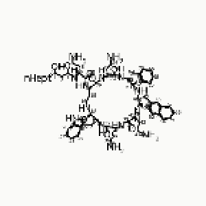 CCCCCCC[C@@H](O)CC(=O)N[C@H](CCN)C(=O)N[C@H]1CCNC(=O)[C@H](Cc2c[nH]c3ccccc23)NC(=O)[C@H](CCN)NC(=O)[C@H](CCN)NC(=O)[C@H](Cc2ccc3ccccc3c2)NC(=O)[C@@H](Cc2ccccc2)NC(=O)[C@H](CCN)NC1=O